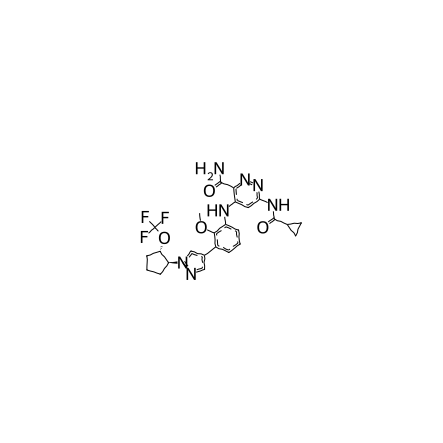 COc1c(Nc2cc(NC(=O)C3CC3)nnc2C(N)=O)cccc1-c1cnn([C@H]2CCC[C@@H]2OC(F)(F)F)c1